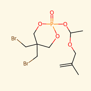 C=C(C)COC(C)OP1(=O)OCC(CBr)(CBr)CO1